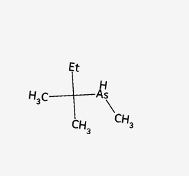 CCC(C)(C)[AsH]C